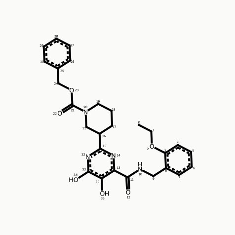 CCOc1ccccc1CNC(=O)c1nc(C2CCCN(C(=O)OCc3ccccc3)C2)nc(O)c1O